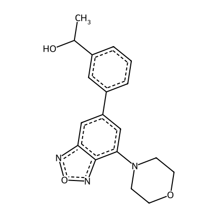 CC(O)c1cccc(-c2cc(N3CCOCC3)c3nonc3c2)c1